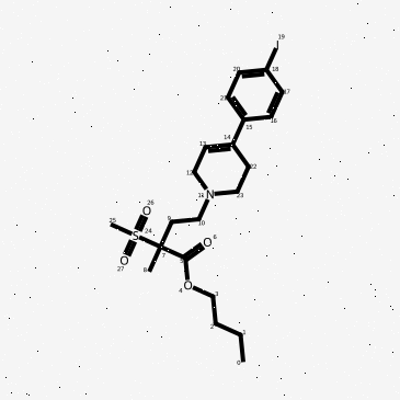 CCCCOC(=O)C(C)(CCN1CC=C(c2ccc(I)cc2)CC1)S(C)(=O)=O